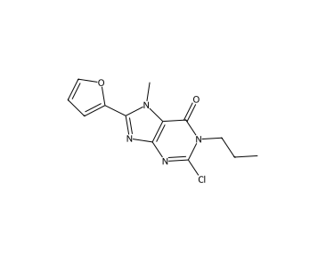 CCCn1c(Cl)nc2nc(-c3ccco3)n(C)c2c1=O